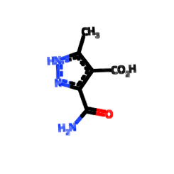 Cc1[nH]nc(C(N)=O)c1C(=O)O